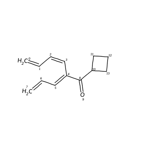 C=C/C=C\C(=C/C=C)C(=O)C1CCC1